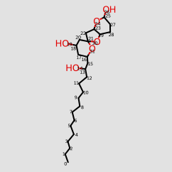 CCCCCCCCCCCCCC(O)CC1CC(O)CC2(CC3OC(O)CCC3O2)O1